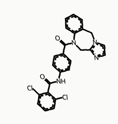 O=C(Nc1ccc(C(=O)N2Cc3nccn3Cc3ccccc32)cc1)c1c(Cl)cccc1Cl